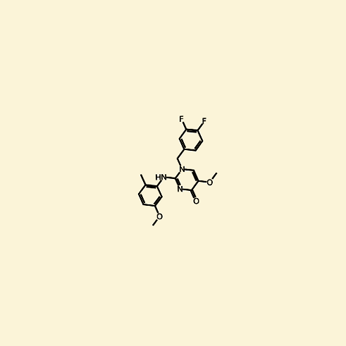 COc1ccc(C)c(Nc2nc(=O)c(OC)cn2Cc2ccc(F)c(F)c2)c1